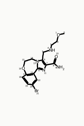 COCCNCc1c(C(N)=O)nc2n1CCOc1ccc(Br)cc1-2